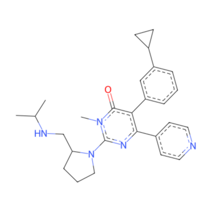 CC(C)NCC1CCCN1c1nc(-c2ccncc2)c(-c2cccc(C3CC3)c2)c(=O)n1C